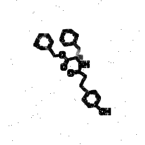 O=C(CCc1ccc(O)cc1)N[C@@H](Cc1ccccc1)C(=O)OCc1ccccc1